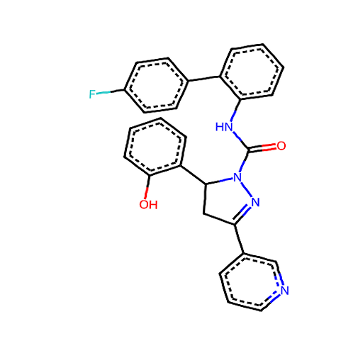 O=C(Nc1ccccc1-c1ccc(F)cc1)N1N=C(c2cccnc2)CC1c1ccccc1O